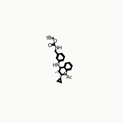 CC(=O)N1c2ccccc2C(Nc2cccc(CNC(=O)OC(C)(C)C)c2)[C@@H](C)[C@@H]1C1CC1